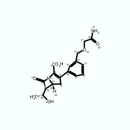 C[C@@H](O)[C@H]1C(=O)N2C(C(=O)O)=C(c3cccc(COCC(N)=O)c3)C[C@H]12